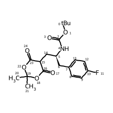 CC(C)(C)OC(=O)N[C@@H](Cc1ccc(F)cc1)CC1C(=O)OC(C)(C)OC1=O